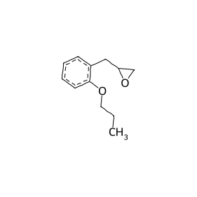 CCCOc1ccccc1CC1CO1